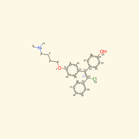 CN(C)CCCCOc1ccc(/C(=C(/Cl)c2ccccc2)c2ccc(O)cc2)cc1